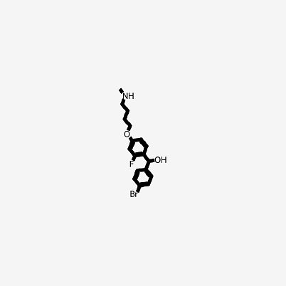 CNCCCCOc1ccc(C(O)c2ccc(Br)cc2)c(F)c1